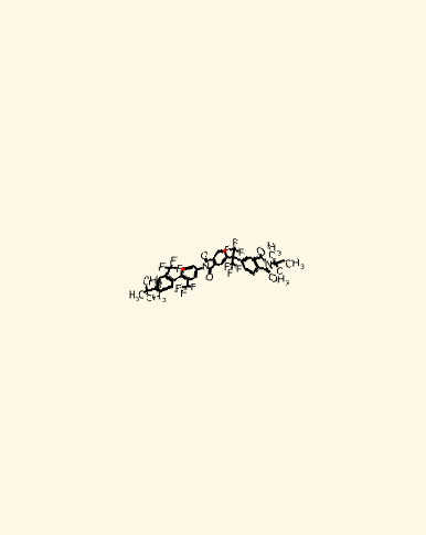 CCC(C)(C)N1C(=O)c2ccc(C(c3ccc4c(c3)C(=O)N(c3ccc(-c5ccc(C(C)(C)C)cc5C(F)(F)F)c(C(F)(F)F)c3)C4=O)(C(F)(F)F)C(F)(F)F)cc2C1=O